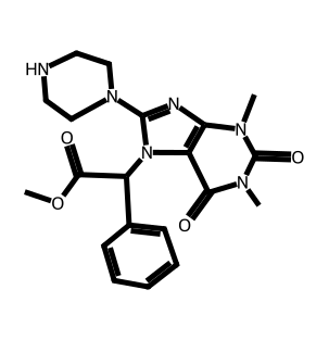 COC(=O)C(c1ccccc1)n1c(N2CCNCC2)nc2c1c(=O)n(C)c(=O)n2C